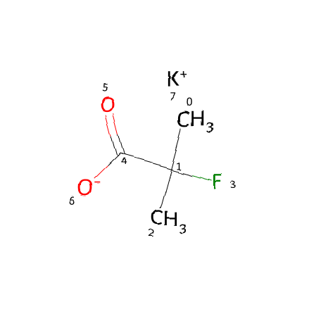 CC(C)(F)C(=O)[O-].[K+]